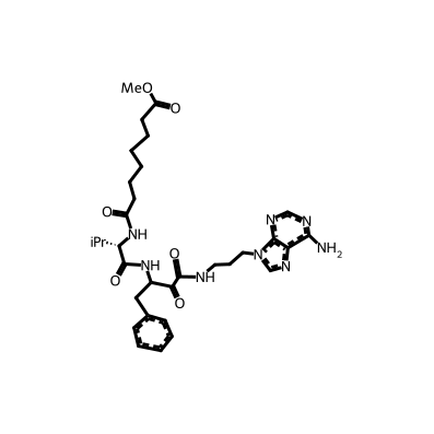 COC(=O)CCCCCCC(=O)N[C@H](C(=O)NC(Cc1ccccc1)C(=O)C(=O)NCCCn1cnc2c(N)ncnc21)C(C)C